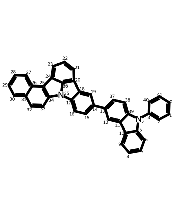 c1ccc(-n2c3ccccc3c3cc(-c4ccc5c(c4)c4cccc6c7c8ccccc8ccc7n5c46)ccc32)cc1